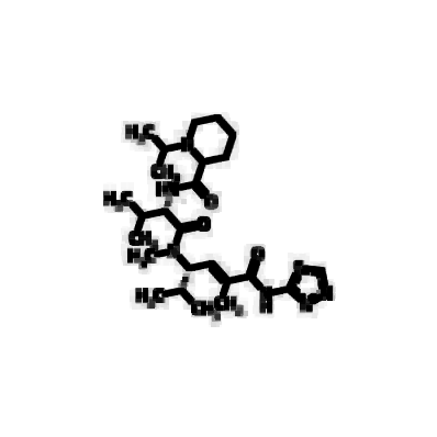 C/C(=C\[C@H](C(C)C)N(C)C(=O)[C@@H](NC(=O)C1CCCCN1C(C)C)C(C)C)C(=O)Nc1nncs1